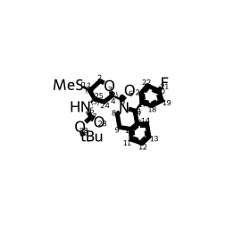 CS[C@H]1CO[C@@H](C(=O)N2CCc3ccccc3[C@@H]2c2ccc(F)cc2)C[C@@H]1NC(=O)OC(C)(C)C